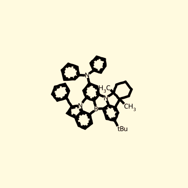 CC(C)(C)c1cc2c3c(c1)C1(C)CCCCC1(C)N3c1cc(N(c3ccccc3)c3ccccc3)cc3c1B2c1cccc2cc(-c4ccccc4)n-3c12